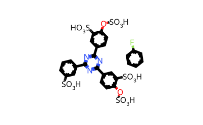 Fc1ccccc1.O=S(=O)(O)Oc1ccc(-c2nc(-c3cccc(S(=O)(=O)O)c3)nc(-c3ccc(OS(=O)(=O)O)c(S(=O)(=O)O)c3)n2)cc1S(=O)(=O)O